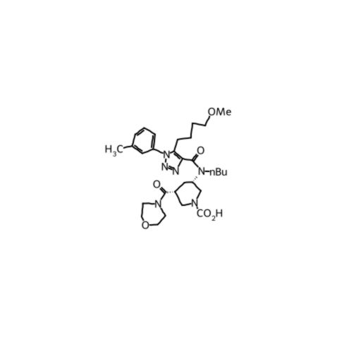 CCCCN(C(=O)c1nnn(-c2cccc(C)c2)c1CCCCOC)[C@H]1C[C@@H](C(=O)N2CCOCC2)CN(C(=O)O)C1